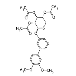 COc1ccc(-c2cncc(O[C@@H]3SC[C@@H](OC(C)=O)[C@H](OC(C)=O)[C@H]3OC(C)=O)c2)cc1OC